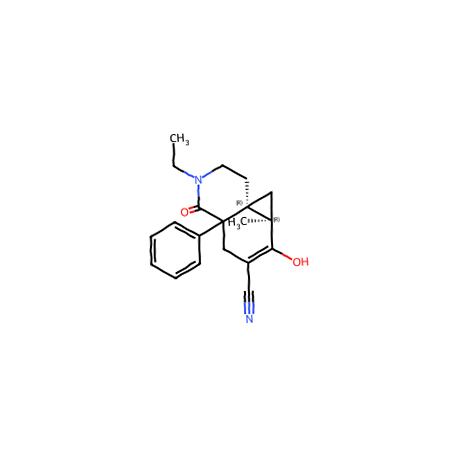 CCN1CC[C@]23C[C@@]2(C)C(O)=C(C#N)CC3(c2ccccc2)C1=O